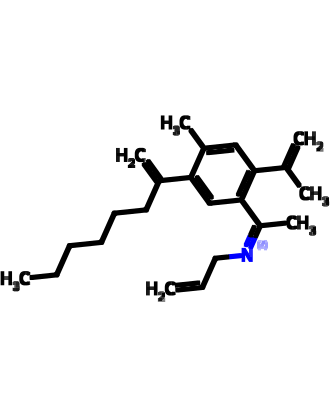 C=CC/N=C(/C)c1cc(C(=C)CCCCCC)c(C)cc1C(=C)C